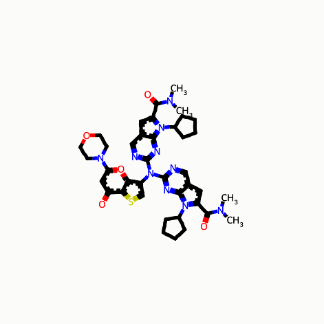 CN(C)C(=O)c1cc2cnc(N(c3ncc4cc(C(=O)N(C)C)n(C5CCCC5)c4n3)c3csc4c(=O)cc(N5CCOCC5)oc34)nc2n1C1CCCC1